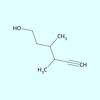 C#CC(C)C(C)CCO